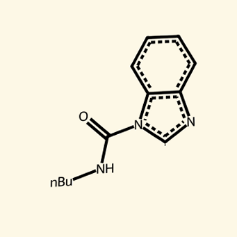 CCCCNC(=O)n1[c]nc2ccccc21